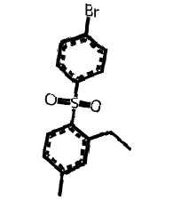 CCc1cc(C)ccc1S(=O)(=O)c1ccc(Br)cc1